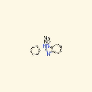 [Na].[Na].c1ccc(-c2nc3ccccc3[nH]2)cc1